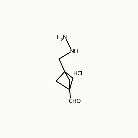 Cl.NNCC12CC(C=O)(C1)C2